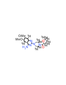 [2H]c1c(OC)c(OC)c([2H])c2c(N)nc(N3CC([2H])([2H])N(C(=O)C4OC([2H])([2H])C([2H])([2H])C4([2H])[2H])C([2H])([2H])C3)nc12